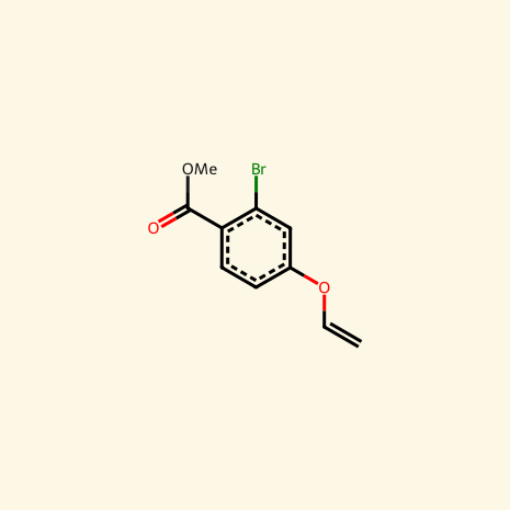 C=COc1ccc(C(=O)OC)c(Br)c1